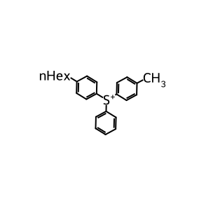 CCCCCCc1ccc([S+](c2ccccc2)c2ccc(C)cc2)cc1